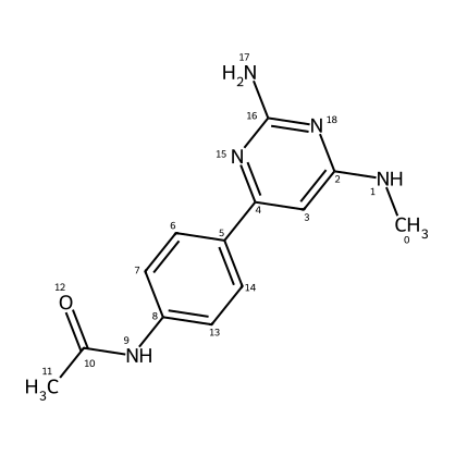 CNc1cc(-c2ccc(NC(C)=O)cc2)nc(N)n1